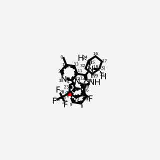 Cc1cnc(-c2ncccn2)c(C(=O)N2[C@@H]3CC[C@H]2[C@H](Nc2ncc(C(F)(F)F)cc2F)C3)c1